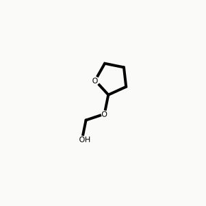 OCOC1CCCO1